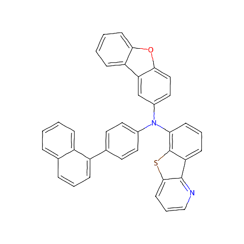 c1ccc2c(-c3ccc(N(c4ccc5oc6ccccc6c5c4)c4cccc5c4sc4cccnc45)cc3)cccc2c1